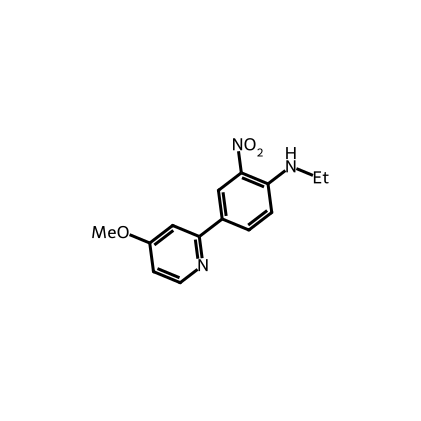 CCNc1ccc(-c2cc(OC)ccn2)cc1[N+](=O)[O-]